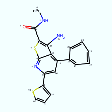 CCCNC(=O)c1sc2nc(-c3cccs3)cc(-c3ccccc3)c2c1N